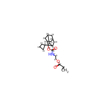 C=CC(=O)OCCNC(=O)OC1(C2CCC2)C2CC3CC(C2)CC1C3